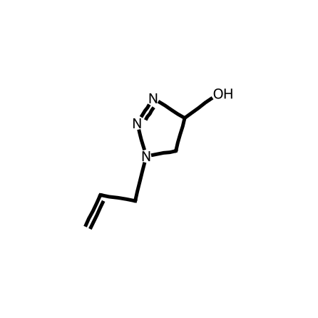 C=CCN1CC(O)N=N1